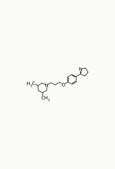 CC1CC(C)CN(CCCOc2ccc(C3=NCCC3)cc2)C1